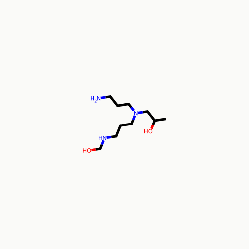 CC(O)CN(CCCN)CCCNCO